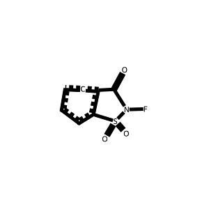 O=C1c2ccccc2S(=O)(=O)N1F